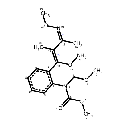 COCN(C(=O)OC)c1ccccc1/C(ON)=C(C)/C(C)=N\OC